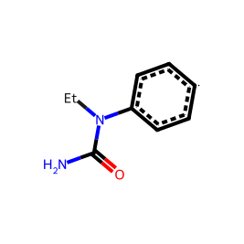 CCN(C(N)=O)c1cc[c]cc1